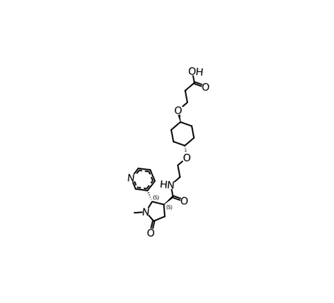 CN1C(=O)C[C@H](C(=O)NCCO[C@H]2CC[C@H](OCCC(=O)O)CC2)[C@H]1c1cccnc1